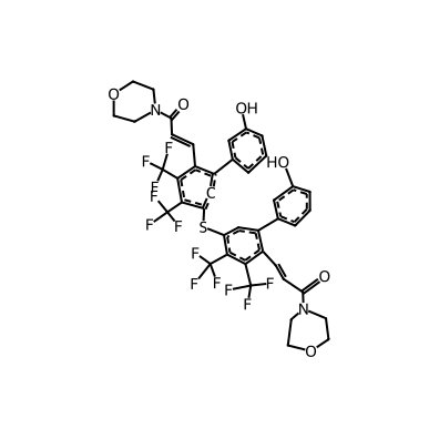 O=C(/C=C/c1c(-c2cccc(O)c2)cc(Sc2cc(-c3cccc(O)c3)c(/C=C/C(=O)N3CCOCC3)c(C(F)(F)F)c2C(F)(F)F)c(C(F)(F)F)c1C(F)(F)F)N1CCOCC1